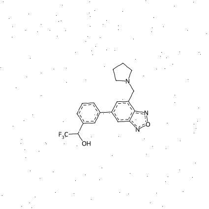 OC(c1cccc(-c2cc(CN3CCCC3)c3nonc3c2)c1)C(F)(F)F